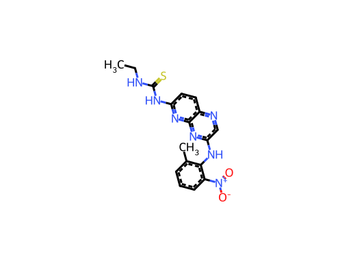 CCNC(=S)Nc1ccc2ncc(Nc3c(C)cccc3[N+](=O)[O-])nc2n1